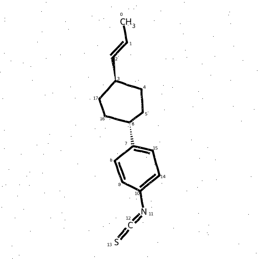 CC=C[C@H]1CC[C@H](c2ccc(N=C=S)cc2)CC1